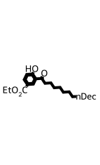 CCCCCCCCCCCCCCCCCC(=O)c1cc(C(=O)OCC)ccc1O